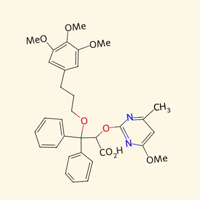 COc1cc(C)nc(OC(C(=O)O)C(OCCCc2cc(OC)c(OC)c(OC)c2)(c2ccccc2)c2ccccc2)n1